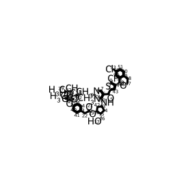 Cc1sc(C(=O)c2cncnc2N[C@H]2C[C@H](CO)[C@@H](OC(=O)Cc3ccc(OP(=O)(OC(C)(C)C)OC(C)(C)C)cc3)C2)cc1[C@@H]1OCCc2ccc(Cl)cc21